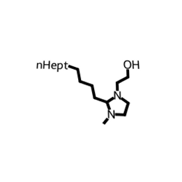 CCCCCCCCCCCC1N(C)CCN1CCO